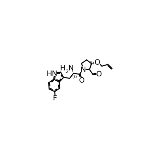 C=CCO[C@H]1CCN(C(=O)[C@@H](N)Cc2c[nH]c3ccc(F)cc23)C1C=O